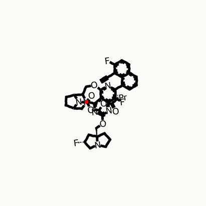 C#Cc1c(F)ccc2cccc(-c3nc4c5c(nc(OC[C@@]67CCCN6C[C@H](F)C7)nc5c3F)N3CC5CCC(C3CO4)N5C(=O)OC(C)OC(=O)C(C)C)c12